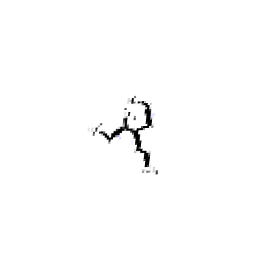 C=C/C=C(\C=C/C)C(/C)=C/C